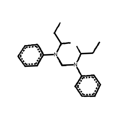 CCC(C)N(CN(c1ccccc1)C(C)CC)c1ccccc1